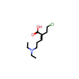 CCN(CC)CCC=C(CCCl)C(=O)O